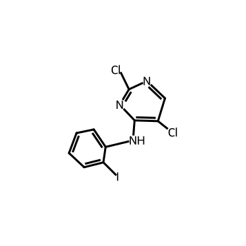 Clc1ncc(Cl)c(Nc2ccccc2I)n1